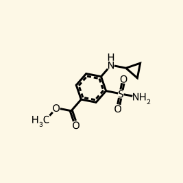 COC(=O)c1ccc(NC2CC2)c(S(N)(=O)=O)c1